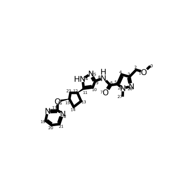 COCc1cc(C(=O)Nc2cc([C@H]3CC[C@@H](Oc4ncccn4)C3)[nH]n2)n(C)n1